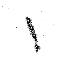 C=CC(=O)OCCCCSc1ccc(C(=O)Oc2ccc(C(=O)Oc3ccc(C)cc3)cc2)cc1